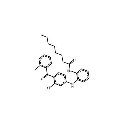 CCCCCCCC(=O)Nc1ccccc1Nc1ccc(C(=O)c2ccccc2C)c(Cl)c1